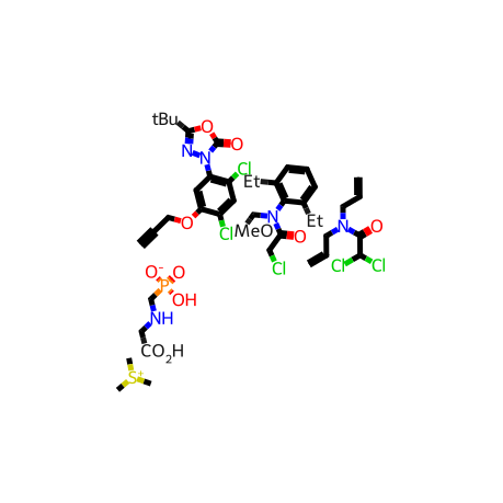 C#CCOc1cc(-n2nc(C(C)(C)C)oc2=O)c(Cl)cc1Cl.C=CCN(CC=C)C(=O)C(Cl)Cl.CCc1cccc(CC)c1N(COC)C(=O)CCl.C[S+](C)C.O=C(O)CNCP(=O)([O-])O